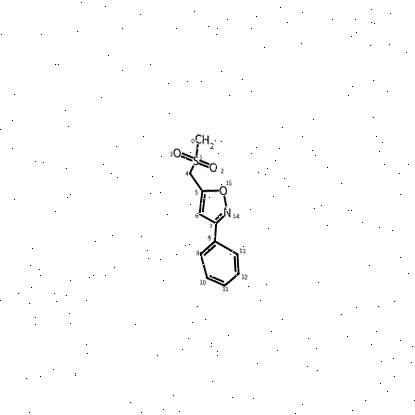 [CH2]S(=O)(=O)Cc1cc(-c2ccccc2)no1